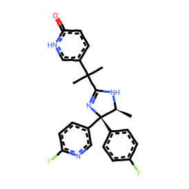 C[C@@H]1NC(C(C)(C)c2ccc(=O)[nH]c2)=N[C@@]1(c1ccc(F)cc1)c1ccc(F)nc1